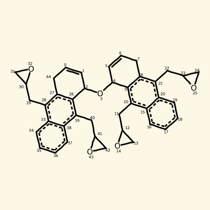 C1=CC(OC2C=CCc3c2c(CC2CO2)c2ccccc2c3CC2CO2)c2c(c(CC3CO3)c3ccccc3c2CC2CO2)C1